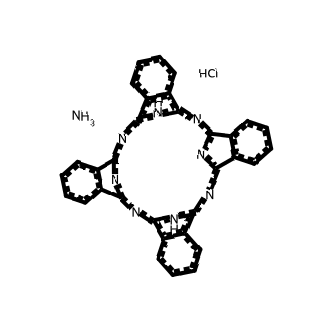 Cl.N.c1ccc2c(c1)-c1nc-2nc2[nH]c(nc3nc(nc4[nH]c(n1)c1ccccc41)-c1ccccc1-3)c1ccccc21